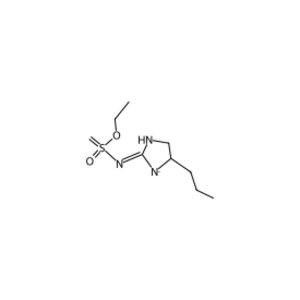 C=S(=O)(N=C1[N]C(CCC)CN1)OCC